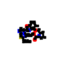 CSc1nn2c(-c3nc4c(OCC5CCCN5C(=O)OC(C)(C)C)cccc4o3)cnc2s1